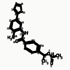 C[C@H](O[PH](C)=O)c1ccc(C(=O)Nc2cc(-c3cccs3)ccc2N)cc1